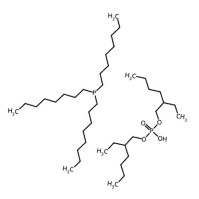 CCCCC(CC)COP(=O)(O)OCC(CC)CCCC.CCCCCCCCP(CCCCCCCC)CCCCCCCC